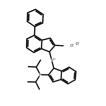 CC1=Cc2c(-c3ccccc3)cccc2[CH]1[Ti+2][CH]1C(P(C(C)C)C(C)C)=Cc2ccccc21.[Cl-].[Cl-]